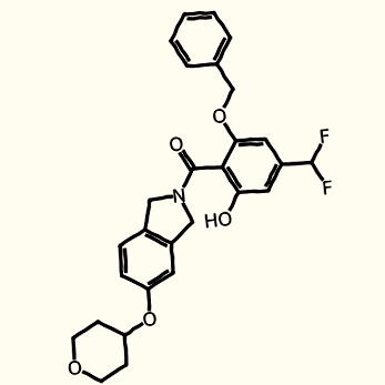 O=C(c1c(O)cc(C(F)F)cc1OCc1ccccc1)N1Cc2ccc(OC3CCOCC3)cc2C1